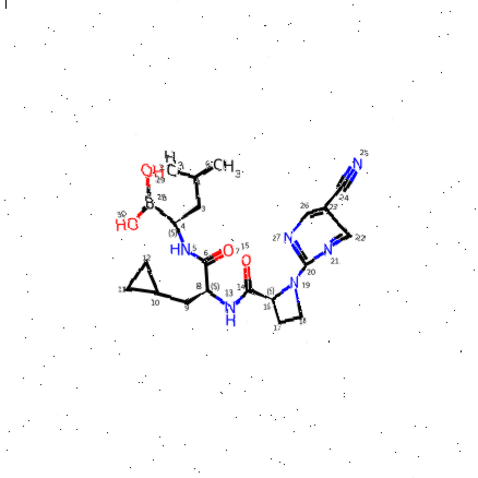 CC(C)C[C@@H](NC(=O)[C@H](CC1CC1)NC(=O)[C@@H]1CCN1c1ncc(C#N)cn1)B(O)O